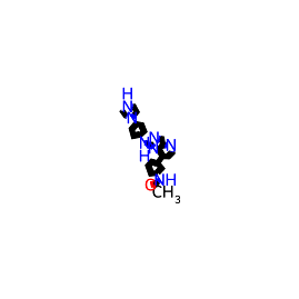 CC(=O)Nc1cccc(-c2ccnc3cnc(Nc4ccc(N5CCNCC5)cc4)nc23)c1